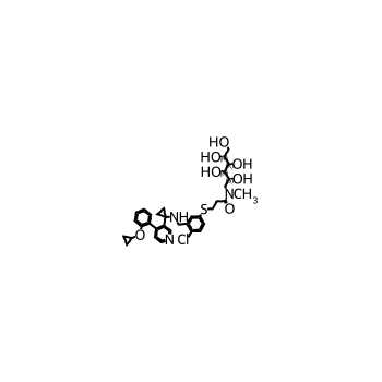 CN(C[C@H](O)[C@@H](O)[C@H](O)[C@H](O)CO)C(=O)CCSc1ccc(Cl)c(CNC2(c3cnccc3-c3ccccc3OC3CC3)CC2)c1